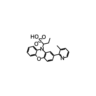 CCC(N1c2ccccc2Oc2ccc(-c3ncccc3C)cc21)S(=O)(=O)O